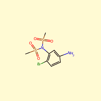 CS(=O)(=O)N(c1cc(N)ccc1Br)S(C)(=O)=O